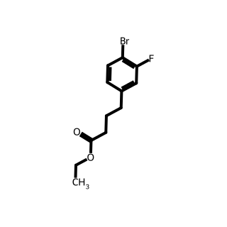 CCOC(=O)CCCc1ccc(Br)c(F)c1